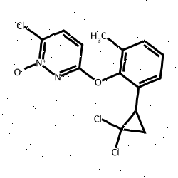 Cc1cccc(C2CC2(Cl)Cl)c1Oc1ccc(Cl)[n+]([O-])n1